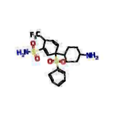 NC1CCC(C2(S(=O)(=O)c3ccccc3)C=CC(C(F)(F)F)C(S(N)(=O)=O)=C2)CC1